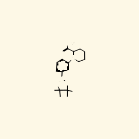 COC(=O)C1CCCCN1c1cccc(B2OC(C)(C)C(C)(C)O2)c1